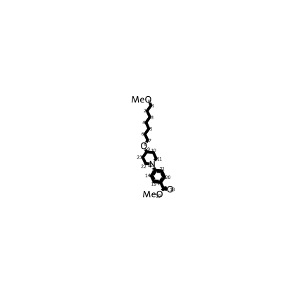 COCCCCCCCOC1CCN(c2ccc(C(=O)OC)cc2)CC1